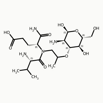 CC(CN(C(=O)[C@@H](N)C(C)C)[C@H](CCC(=O)O)C(N)=O)O[C@@H]1[C@@H](N)[C@@H](O)O[C@H](CO)[C@H]1O